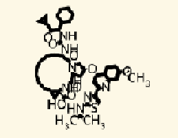 COc1ccc2c(O[C@@H]3C[C@H]4C(=O)N[C@]5(C(=O)O)CC5CCCCCCC[C@H](NC(=O)N[C@H](C(=O)C5CC5)C5CCCCC5)C(=O)N4C3)cc(-c3csc(NC(C)C)n3)nc2c1